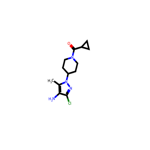 Cc1c(N)c(Cl)nn1C1CCN(C(=O)C2CC2)CC1